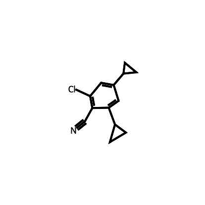 N#Cc1c(Cl)cc(C2CC2)cc1C1CC1